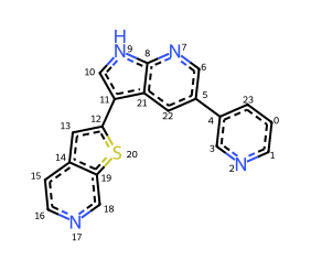 c1cncc(-c2cnc3[nH]cc(-c4cc5ccncc5s4)c3c2)c1